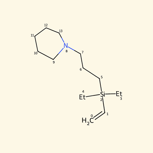 C=C[Si](CC)(CC)CCCN1CCCCC1